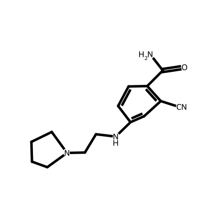 N#Cc1cc(NCCN2CCCC2)ccc1C(N)=O